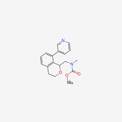 CN(CC1OCCc2cccc(-c3cccnc3)c21)C(=O)OC(C)(C)C